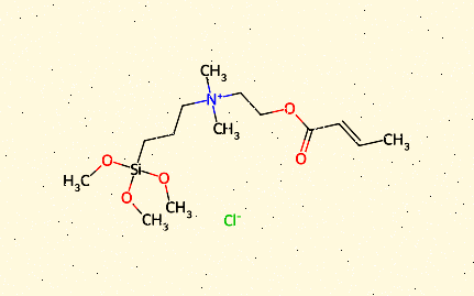 CC=CC(=O)OCC[N+](C)(C)CCC[Si](OC)(OC)OC.[Cl-]